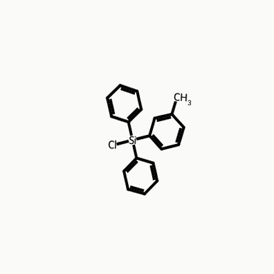 Cc1cccc([Si](Cl)(c2ccccc2)c2ccccc2)c1